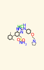 Cc1cccc(C)c1-c1cc(CS(N)(=O)=O)c2nc(Nc3ccc(OCCN4CCCC4)cc3)nnc2c1.Cl